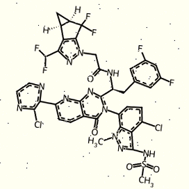 Cn1nc(NS(C)(=O)=O)c2c(Cl)ccc(-n3c([C@H](Cc4cc(F)cc(F)c4)NC(=O)Cn4nc(C(F)F)c5c4C(F)(F)[C@@H]4C[C@H]54)nc4nc(-c5nccnc5Cl)ccc4c3=O)c21